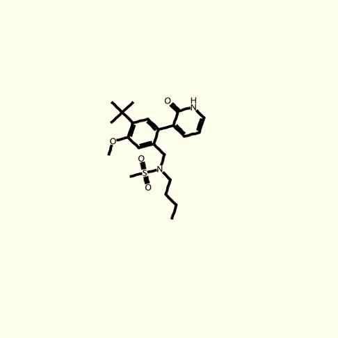 CCCCN(Cc1cc(OC)c(C(C)(C)C)cc1-c1ccc[nH]c1=O)S(C)(=O)=O